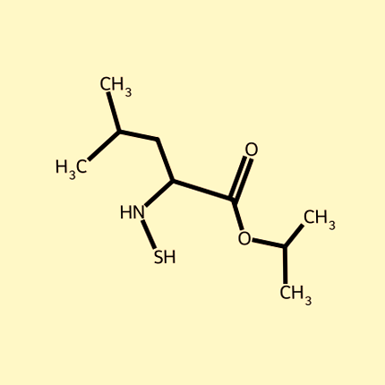 CC(C)CC(NS)C(=O)OC(C)C